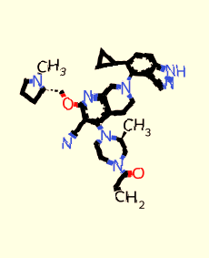 C=CC(=O)N1CCN(c2c(C#N)c(OC[C@@H]3CCCN3C)nc3c2CCN(c2c(C4CC4)ccc4[nH]ncc24)C3)[C@@H](C)C1